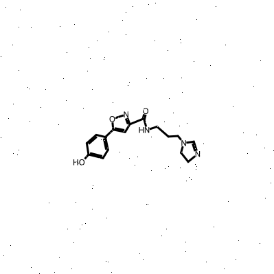 O=C(NCCCN1C=NCC1)c1cc(-c2ccc(O)cc2)on1